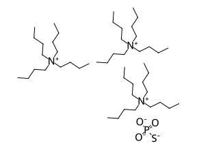 CCCC[N+](CCCC)(CCCC)CCCC.CCCC[N+](CCCC)(CCCC)CCCC.CCCC[N+](CCCC)(CCCC)CCCC.O=P([O-])([O-])[S-]